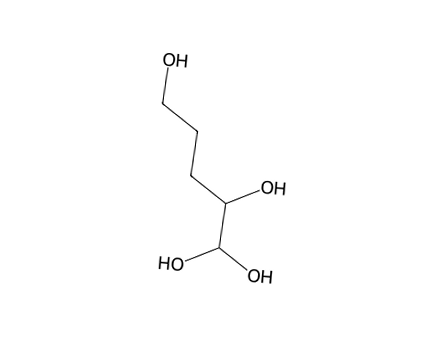 OCCCC(O)C(O)O